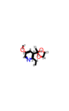 CCc1ncc(OC)cc1C1(C)OCCO1